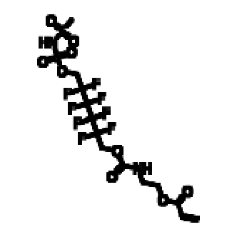 C=CC(=O)OCCNC(=O)OCC(F)(F)C(F)(F)C(F)(F)C(F)(F)COS(=O)(=O)NS(C)(=O)=O